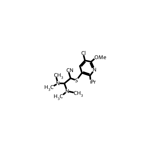 COc1nc(C(C)C)c(SC(C#N)C(N(C)C)N(C)C)cc1Cl